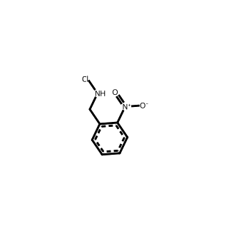 O=[N+]([O-])c1ccccc1CNCl